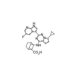 O=C(O)C1C2CCC(CC2)C1Nc1nc(-c2c[nH]c3ncc(F)cc23)nn2c(C3CC3)ccc12